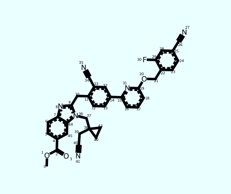 COC(=O)c1ccc2nc(Cc3ccc(-c4cccc(OCc5ccc(C#N)cc5F)n4)cc3C#N)n(CC3(CC#N)CC3)c2c1